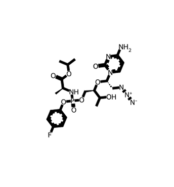 CC(C)OC(=O)[C@H](C)NP(=O)(OC[C@@H](O[C@@H](CN=[N+]=[N-])n1ccc(N)nc1=O)C(C)O)Oc1ccc(F)cc1